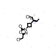 C/C=C(/C1CC(n2nc(CCl)oc2=O)C1)[C@@H](C)Cl